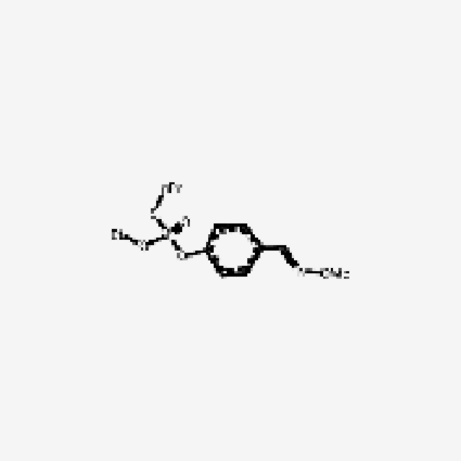 CCCSP(=O)(OCC)Oc1ccc(C=NOC)cc1